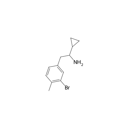 Cc1ccc(CC(N)C2CC2)cc1Br